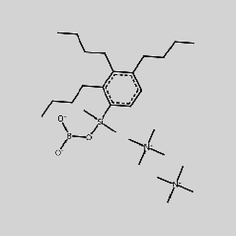 CCCCc1ccc([Si](C)(C)OB([O-])[O-])c(CCCC)c1CCCC.C[N+](C)(C)C.C[N+](C)(C)C